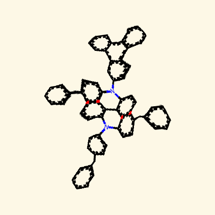 c1ccc(-c2ccc(N(c3ccc(-c4ccccc4)cc3)c3ccccc3-c3ccccc3N(c3ccc(-c4ccccc4)cc3)c3ccc4c5ccccc5c5ccccc5c4c3)cc2)cc1